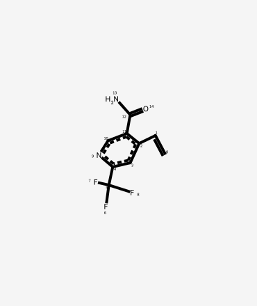 C=Cc1cc(C(F)(F)F)ncc1C(N)=O